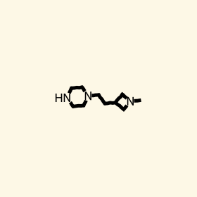 CN1CC(CCN2CCNCC2)C1